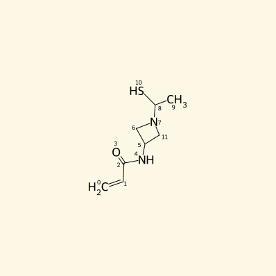 C=CC(=O)NC1CN(C(C)S)C1